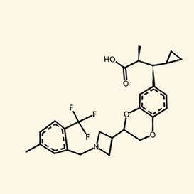 Cc1ccc(C(F)(F)F)c(CN2CC(C3COc4ccc([C@H](C5CC5)[C@H](C)C(=O)O)cc4O3)C2)c1